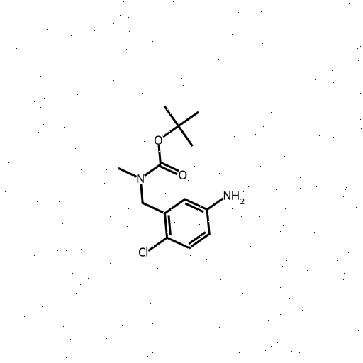 CN(Cc1cc(N)ccc1Cl)C(=O)OC(C)(C)C